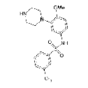 COc1ccc(NS(=O)(=O)c2cccc(C(F)(F)F)c2)cc1N1CCNCC1